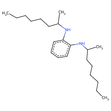 CCCCCCC(C)Nc1ccccc1NC(C)CCCCCC